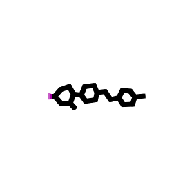 CC1CCC(CCC2CCC(C3CCC(I)CC3C)CC2)CC1